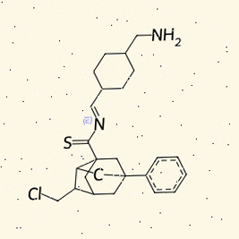 NCC1CCC(/C=N/C(=S)C23CC4CC(c5ccccc5)(CC2C4CCl)C3)CC1